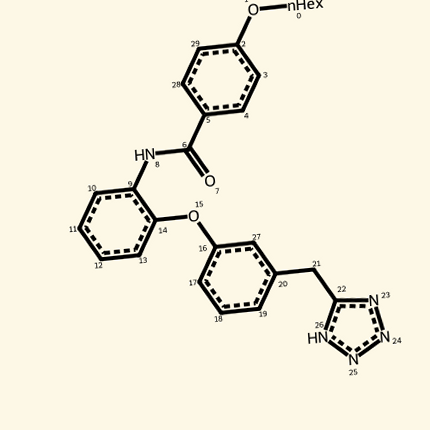 CCCCCCOc1ccc(C(=O)Nc2ccccc2Oc2cccc(Cc3nnn[nH]3)c2)cc1